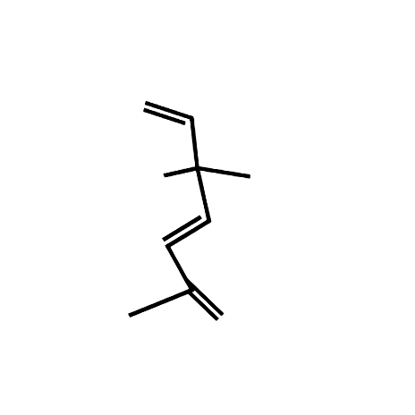 C=CC(C)(C)C=CC(=C)C